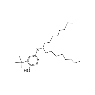 CCCCCCCCC(CCCCCCCC)Sc1ccc(O)c(C(C)(C)C)c1